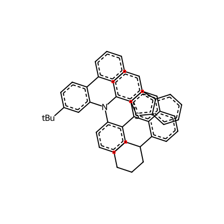 CC(C)(C)c1ccc(-c2ccccc2)c(N(c2ccccc2-c2cccc3cccc(C4CCCCC4)c23)c2cccc3c2sc2ccccc23)c1